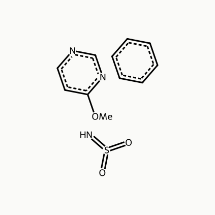 COc1ccncn1.N=S(=O)=O.c1ccccc1